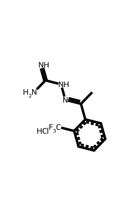 CC(=NNC(=N)N)c1ccccc1C(F)(F)F.Cl